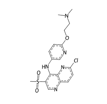 CN(C)CCOc1ccc(Nc2c(S(C)(=O)=O)cnc3ccc(Cl)nc23)cn1